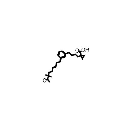 CC(=O)C(C)(C)CCCCCCc1cccc(CCCCC2(C(=O)O)CC2)c1